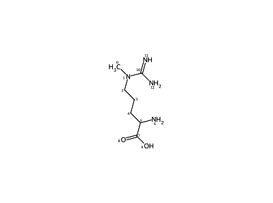 CN(CCCC(N)C(=O)O)C(=N)N